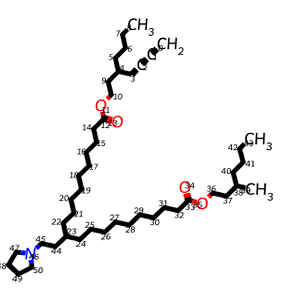 C=C=C=CC(CCCC)CCOC(=O)CCCCCCCCCC(CCCCCCCCCC(=O)OCCC(C)CCCC)CCN1CCCC1